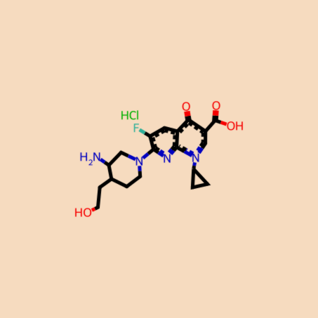 Cl.NC1CN(c2nc3c(cc2F)c(=O)c(C(=O)O)cn3C2CC2)CCC1CCO